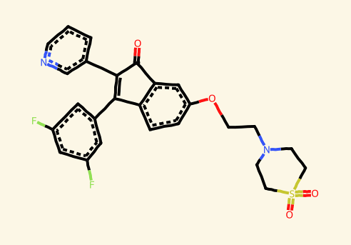 O=C1C(c2cccnc2)=C(c2cc(F)cc(F)c2)c2ccc(OCCN3CCS(=O)(=O)CC3)cc21